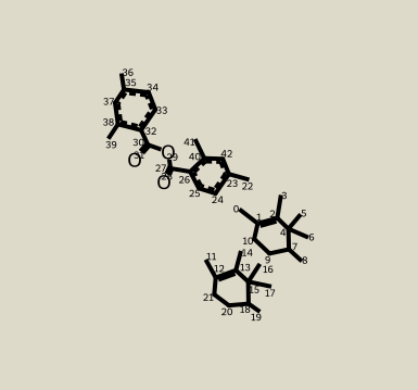 CC1=C(C)C(C)(C)C(C)CC1.CC1=C(C)C(C)(C)C(C)CC1.Cc1ccc(C(=O)OC(=O)c2ccc(C)cc2C)c(C)c1